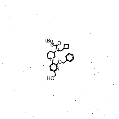 CC(C)(C)OC(=O)N(CC1CCC1)C1CCCN(c2ccc(CO)nc2OCc2ccccc2)C1